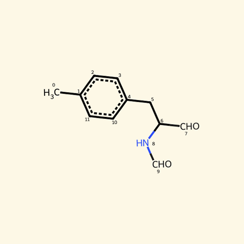 Cc1ccc(CC(C=O)NC=O)cc1